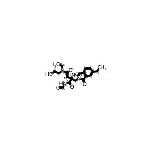 CCc1ccc2c(c1)C(=O)N(CC(CC(=O)N(CC)CCO)(NC)C(=O)NC=O)C2